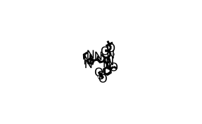 COc1ccc(S(C)(=O)=O)cc1-n1nc(N(C)C(=O)OC(C)(C)C)c2cnc(-c3cnn4cccnc34)cc21